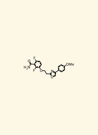 COc1ccc(-c2coc(CCOc3ccc(F)c(C(N)=O)c3F)n2)cc1